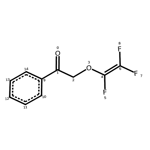 O=C(COC(F)=C(F)F)c1ccccc1